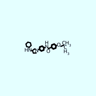 CC(C)COc1ccc(C(=O)Nc2ccc(N3CCC(NC4CCCCC4)C3)cc2)cc1